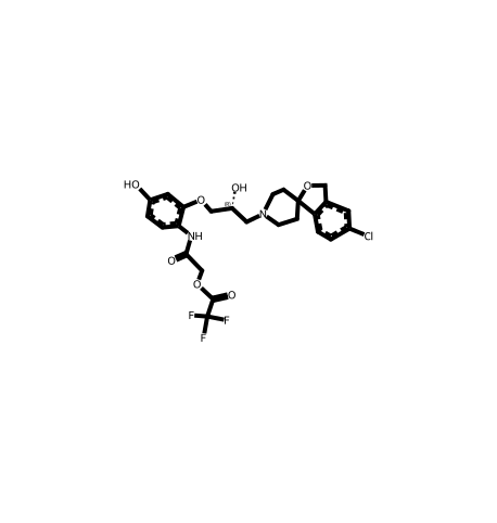 O=C(COC(=O)C(F)(F)F)Nc1ccc(O)cc1OC[C@H](O)CN1CCC2(CC1)OCc1cc(Cl)ccc12